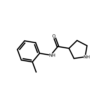 Cc1ccccc1NC(=O)C1CCNC1